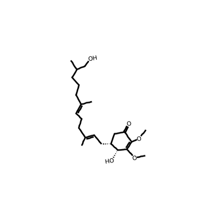 COC1=C(OC)[C@H](O)[C@H](C/C=C(\C)CC/C=C(\C)CCCC(C)CO)CC1=O